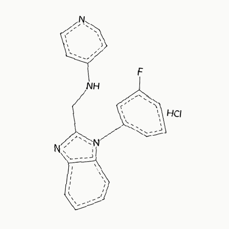 Cl.Fc1cccc(-n2c(CNc3ccncc3)nc3ccccc32)c1